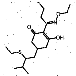 CCC/C(=N\OCC)C1=C(O)CC(CC(SCC)C(C)C)CC1=O